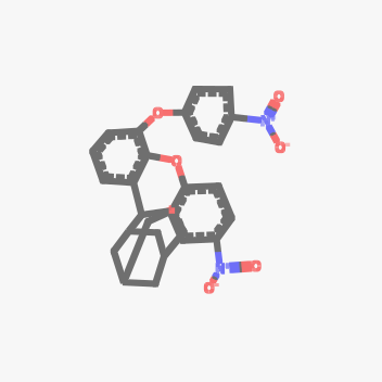 O=[N+]([O-])c1ccc(Oc2cccc(C3C4CC5CC(C4)CC3C5)c2Oc2ccc([N+](=O)[O-])cc2)cc1